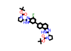 CC(C)(C)OC(=O)N1CCC[C@H]1c1nc2c(F)cc(-c3ccc4c(ccc5nc([C@@H]6CCCN6C(=O)OC(C)(C)C)[nH]c54)c3)cc2[nH]1